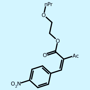 CCCOCCOC(=O)/C(=C\c1ccc([N+](=O)[O-])cc1)C(C)=O